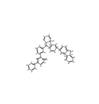 CC12C=CC=CC1N(c1cccc(C3N=C(c4ccccc4)C=CN3)c1)c1ccc(-c3ccc4sc5ccccc5c4c3)cc12